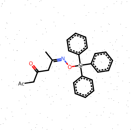 CC(=O)CC(=O)CC(C)=NO[Si](c1ccccc1)(c1ccccc1)c1ccccc1